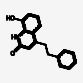 O=c1cc(CCc2ccccc2)c2cccc(O)c2[nH]1